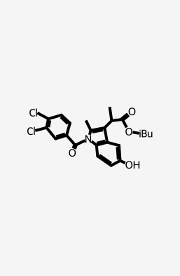 CCC(C)OC(=O)C(C)c1c(C)n(C(=O)c2ccc(Cl)c(Cl)c2)c2ccc(O)cc12